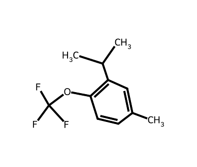 Cc1ccc(OC(F)(F)F)c(C(C)C)c1